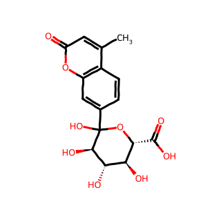 Cc1cc(=O)oc2cc(C3(O)O[C@H](C(=O)O)[C@@H](O)[C@H](O)[C@H]3O)ccc12